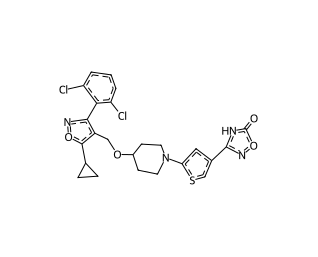 O=c1[nH]c(-c2csc(N3CCC(OCc4c(-c5c(Cl)cccc5Cl)noc4C4CC4)CC3)c2)no1